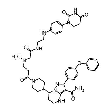 CN(CCC(=O)N1CCC([C@@H]2CCNc3c(C(N)=O)c(-c4ccc(Oc5ccccc5)cc4)nn32)CC1)CC(=O)NCCNc1ccc(N2CCC(=O)NC2=O)cc1